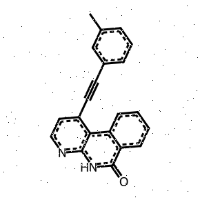 Cc1cccc(C#Cc2ccnc3[nH]c(=O)c4ccccc4c23)c1